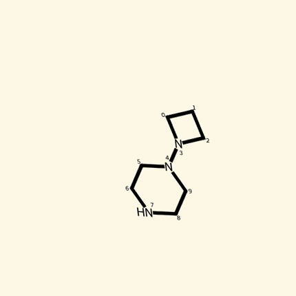 [CH]1CCN1N1CCNCC1